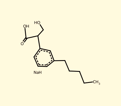 CCCCCc1cccc(C(CO)C(=O)O)c1.[NaH]